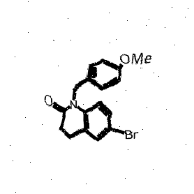 COc1ccc(CN2C(=O)CCc3cc(Br)ccc32)cc1